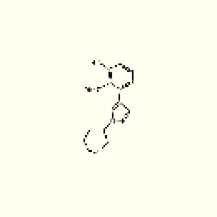 COc1c(N)cccc1-c1cnn(C2CCCOC2)c1